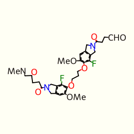 CNCC(=O)CCC(=O)N1Cc2cc(OC)c(OCCCOc3c(OC)cc4c(c3F)CN(C(=O)CCC=O)C4)c(F)c2C1